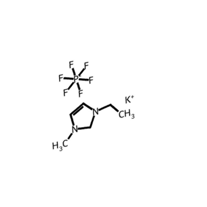 CCN1C=CN(C)C1.F[P-](F)(F)(F)(F)F.[K+]